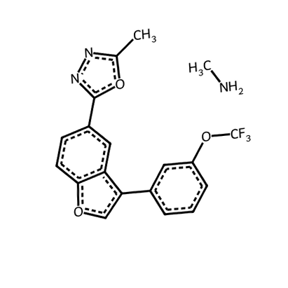 CN.Cc1nnc(-c2ccc3occ(-c4cccc(OC(F)(F)F)c4)c3c2)o1